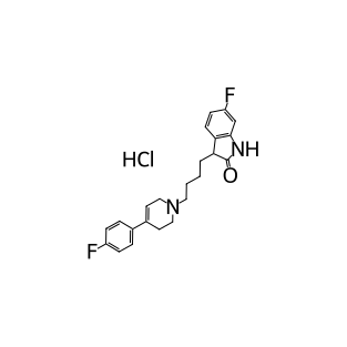 Cl.O=C1Nc2cc(F)ccc2C1CCCCN1CC=C(c2ccc(F)cc2)CC1